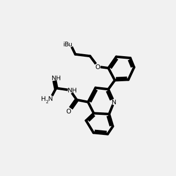 CCC(C)CCOc1ccccc1-c1cc(C(=O)NC(=N)N)c2ccccc2n1